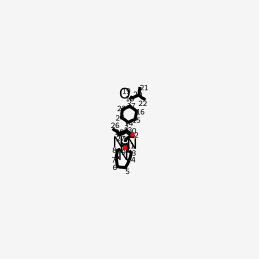 CCN1CC2CCC(C1)N2c1ncc([C@H]2CC[C@@H](C(=O)C(C)C)CC2)c(C)n1